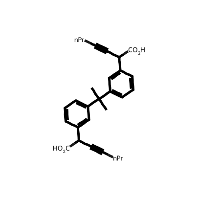 CCCC#CC(C(=O)O)c1cccc(C(C)(C)c2cccc(C(C#CCCC)C(=O)O)c2)c1